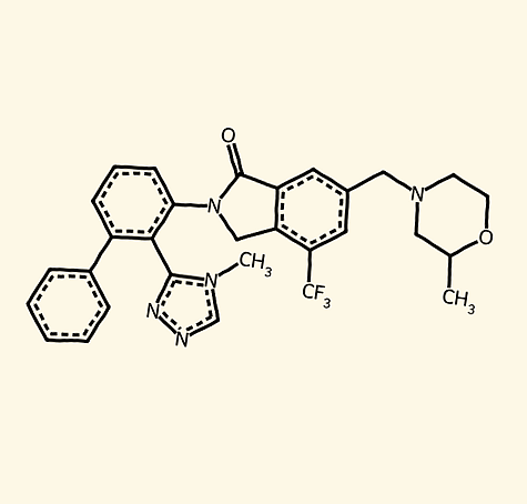 CC1CN(Cc2cc3c(c(C(F)(F)F)c2)CN(c2cccc(-c4ccccc4)c2-c2nncn2C)C3=O)CCO1